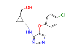 OC[C@@H]1C[C@H]1CNc1ncncc1Oc1ccc(Cl)cc1